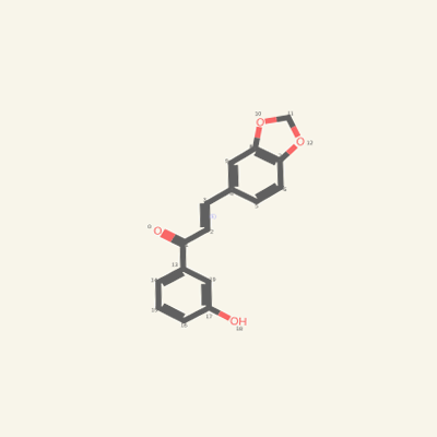 O=C(/C=C/c1ccc2c(c1)OCO2)c1cccc(O)c1